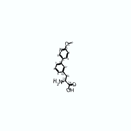 COc1ccc(-c2cccc(C[C@H](N)C(=O)O)c2)cn1